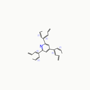 C=C/C=C(\C=C/C)c1cc(C(/C=C\C)=C/C=C)nc(C(/C=C\C)=C/C=C)c1